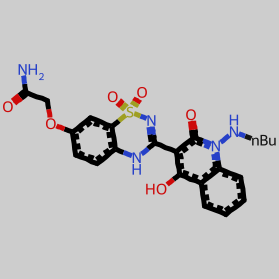 CCCCNn1c(=O)c(C2=NS(=O)(=O)c3cc(OCC(N)=O)ccc3N2)c(O)c2ccccc21